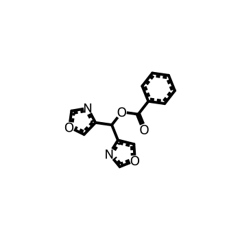 O=C(OC(c1cocn1)c1cocn1)c1ccccc1